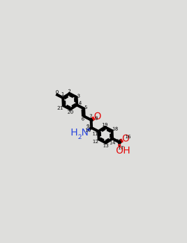 Cc1ccc(/C=C/C(=O)C(N)c2ccc(C(=O)O)cc2)cc1